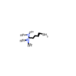 CCCN(CCC)C(CCC=C[SiH3])N(CCC)CCC